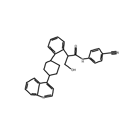 N#Cc1ccc(NC(=O)C(CO)c2ccccc2C2CCC(c3ccnc4ccccc34)CC2)cc1